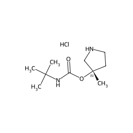 CC(C)(C)NC(=O)O[C@@]1(C)CCNC1.Cl